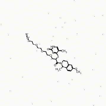 COc1ccc2c(c1)CCN(C(=O)C(COCCOCCOCCN=[N+]=[N-])Sc1nc(=O)[nH]cc1C)[C@@H]2C